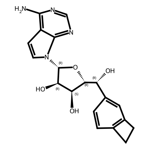 Nc1ncnc2c1ccn2[C@@H]1O[C@H]([C@H](O)c2ccc3c(c2)CC3)[C@@H](O)[C@H]1O